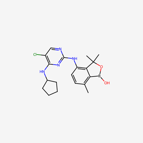 Cc1ccc(Nc2ncc(Cl)c(NC3CCCC3)n2)c2c1B(O)OC2(C)C